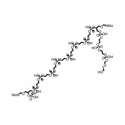 CNCOCC(COP(=O)(O)OCCOP(=O)(O)OCCOP(=O)(O)OCCOP(=O)(O)OCCOP(=O)(O)OCCOP(=O)(O)OCCOP(=O)(O)OCCOP(=O)(O)OC(COCNC)COP(=O)(O)OCCOP(=O)(O)OCCOP(=O)(O)OCSSCO)OP(=O)(O)O